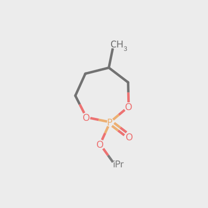 CC1CCOP(=O)(OC(C)C)OC1